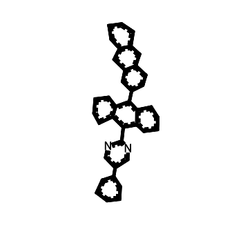 c1ccc(-c2cnc(-c3c4ccccc4c(-c4ccc5cc6ccccc6cc5c4)c4ccccc34)nc2)cc1